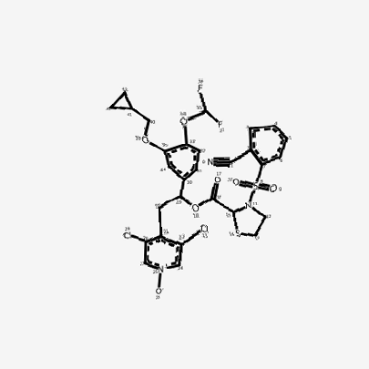 N#Cc1ccccc1S(=O)(=O)N1CCSC1C(=O)OC(Cc1c(Cl)c[n+]([O-])cc1Cl)c1ccc(OC(F)F)c(OCC2CC2)c1